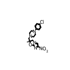 C[C@@]1(CN2CCN(c3ccc(Cl)cc3)CC2)Cn2cc([N+](=O)[O-])nc2O1